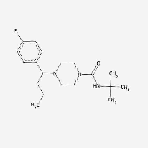 CCCC(c1ccc(F)cc1)N1CCN(C(=O)NC(C)(C)C)CC1